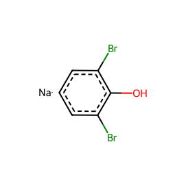 Oc1c(Br)cccc1Br.[Na]